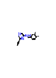 CC#Cc1cncc(NCc2ccc(C)c(C)c2)n1